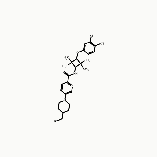 CC1(C)C(NC(=O)c2ccc(N3CCC(CO)CC3)cn2)C(C)(C)C1Oc1ccc(C#N)c(Cl)c1